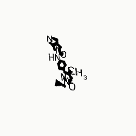 CC1CC(=O)N(CC2CC2)N=C1c1ccc(NC(=O)N2Cc3ccncc3C2)cc1